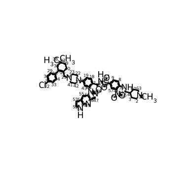 CN1CCC(CNc2ccc(S(=O)(=O)NC(=O)c3ccc(N4CCN(CC5=C(c6ccc(Cl)cc6)CC(C)(C)CC5)CC4)cc3-n3ncc4nc5[nH]ccc5cc43)cc2[N+](=O)[O-])CC1